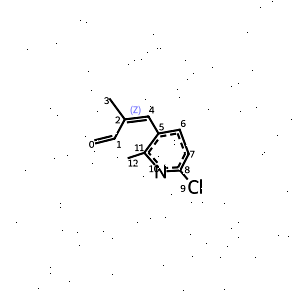 C=C/C(C)=C\c1ccc(Cl)nc1C